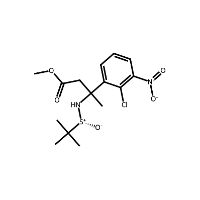 COC(=O)CC(C)(N[S@+]([O-])C(C)(C)C)c1cccc([N+](=O)[O-])c1Cl